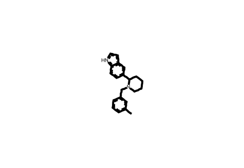 Cc1cccc(CN2CCCCC2c2ccc3[nH]ccc3c2)c1